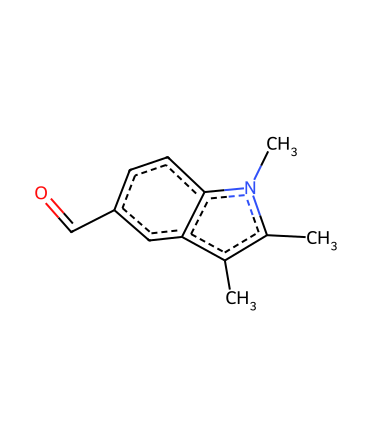 Cc1c(C)n(C)c2ccc(C=O)cc12